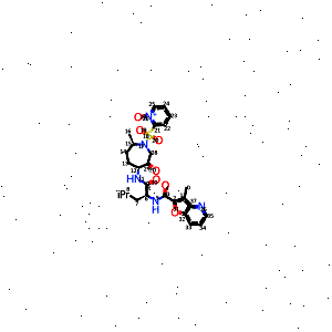 Cc1c(C(=O)N[C@@H](CC(C)C)C(=O)N[C@H]2CC[C@@H](C)N(S(=O)(=O)c3cccc[n+]3[O-])CC2=O)oc2cccnc12